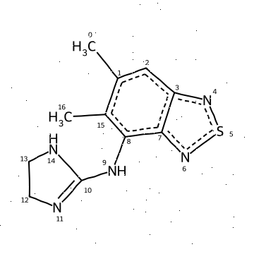 Cc1cc2nsnc2c(NC2=NCCN2)c1C